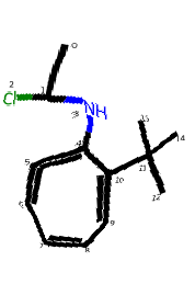 CC(Cl)NC1=C=CC=CC=C1C(C)(C)C